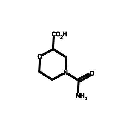 NC(=O)N1CCOC(C(=O)O)C1